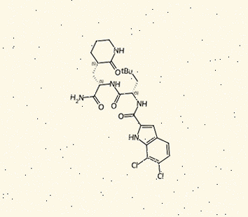 CC(C)(C)C[C@H](NC(=O)c1cc2ccc(Cl)c(Cl)c2[nH]1)C(=O)N[C@@H](C[C@@H]1CCCNC1=O)C(N)=O